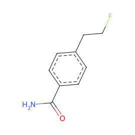 NC(=O)c1ccc(CCF)cc1